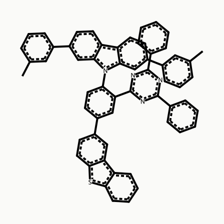 Cc1cccc(-c2ccc3c4ccc(-c5cccc(C)c5)cc4n(-c4ccc(-c5ccc6sc7ccccc7c6c5)cc4-c4nc(-c5ccccc5)nc(-c5ccccc5)n4)c3c2)c1